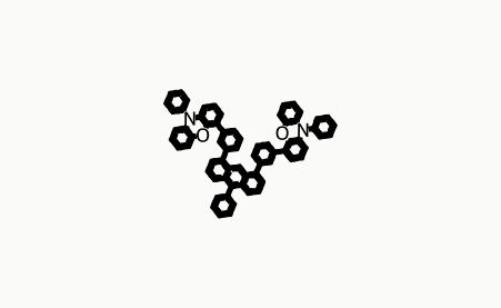 c1ccc(-c2c3cccc(-c4cccc(-c5cccc6c5Oc5ccccc5N6c5ccccc5)c4)c3cc3c(-c4cccc(-c5cccc6c5Oc5ccccc5N6c5ccccc5)c4)cccc23)cc1